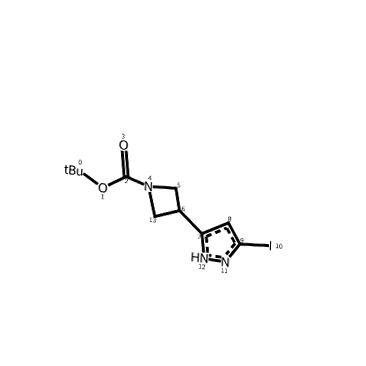 CC(C)(C)OC(=O)N1CC(c2cc(I)n[nH]2)C1